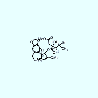 CCC(C(C)(C)Br)[C@@](O)(CC(=O)OC)C(=O)OC1C(OC)=C[C@]23CCCN2CCc2cc4c(cc2[C@H]13)OCO4